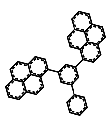 c1ccc(-c2cc(-c3ccc4ccc5cccc6ccc3c4c56)cc(-c3ccc4ccc5cccc6ccc3c4c56)c2)cc1